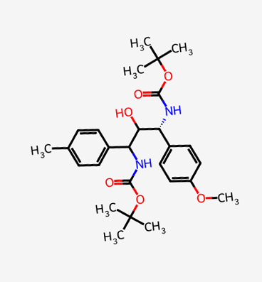 COc1ccc([C@@H](NC(=O)OC(C)(C)C)C(O)C(NC(=O)OC(C)(C)C)c2ccc(C)cc2)cc1